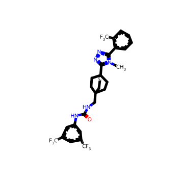 Cn1c(-c2ccccc2C(F)(F)F)nnc1C12CCC(CNC(=O)Nc3cc(C(F)(F)F)cc(C(F)(F)F)c3)(CC1)CC2